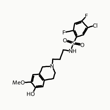 COc1cc2c(cc1O)CCN(CCCNS(=O)(=O)c1cc(Cl)c(F)cc1F)C2